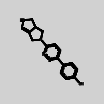 Oc1ccc(-c2ccc(N3CC4=CNCC4C3)nn2)cc1